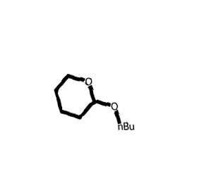 CCCCOC1CCCCO1